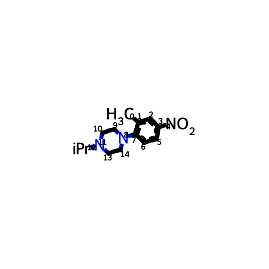 Cc1cc([N+](=O)[O-])ccc1N1CCN(C(C)C)CC1